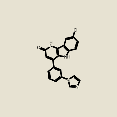 O=c1cc(-c2cccc(-n3ccnc3)c2)c2[nH]c3ccc(Cl)cc3c2[nH]1